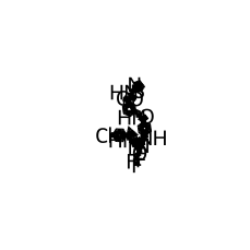 O=C(Nc1nccs1)C(=O)N1CCCC(CNC(=O)c2ccc(Nc3nc(NC4(c5ccc(Cl)cc5)CC4)nc(OCC(F)(F)F)n3)cc2)C1